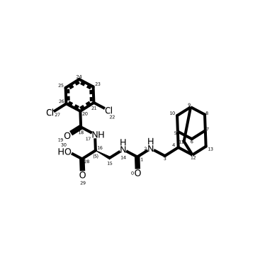 O=C(NCC1C2CC3CC(C2)CC1C3)NC[C@H](NC(=O)c1c(Cl)cccc1Cl)C(=O)O